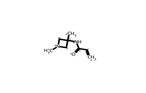 C=CC(=O)NC1(C)CN(C)C1